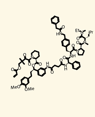 C=CC(=O)OCC(C)(C)C(=O)C(=O)N1CCCC[C@H]1C(=O)O[C@H](CCc1ccc(OC)c(OC)c1)c1cccc(NC(=O)CCC(=O)N[C@H](C(=O)N[C@@H](Cc2ccc(CNC(=O)Cc3ccccc3)cc2)C(=O)N2CCC[C@@H]2C(=O)N(C)[C@@H](CC(C)C)C(=O)N(C)CC)c2ccccc2)c1